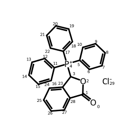 O=C1OC([P+](c2ccccc2)(c2ccccc2)c2ccccc2)c2ccccc21.[Cl-]